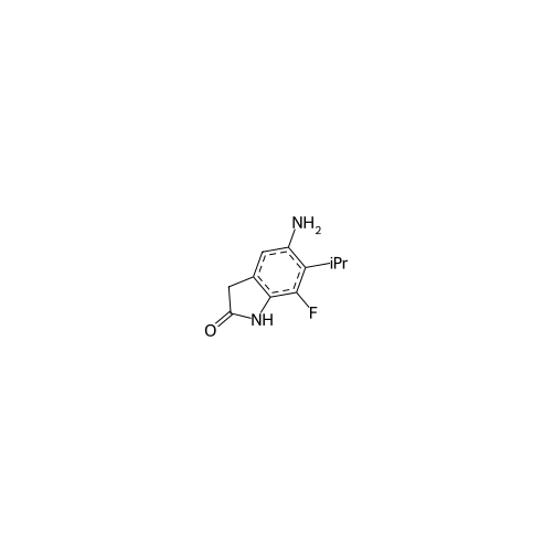 CC(C)c1c(N)cc2c(c1F)NC(=O)C2